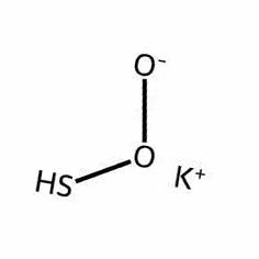 [K+].[O-]OS